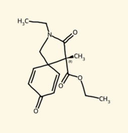 CCOC(=O)[C@@]1(C)C(=O)N(CC)CC12C=CC(=O)C=C2